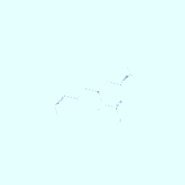 CC/C=C\CCC(C/C=C\CC)OC(=O)C(C)CC